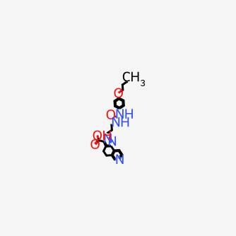 CCCCOc1ccc(NC(=O)NCCCn2nc3c(c2C(=O)O)CCc2cnccc2-3)cc1